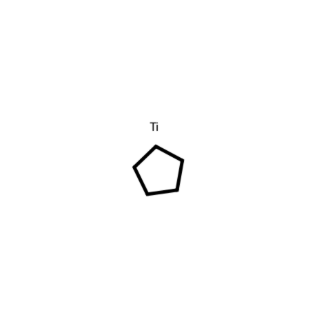 C1CCCC1.[Ti]